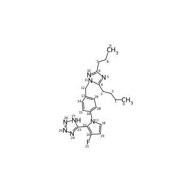 CCCCc1nc(CCC)nn1Cc1ccc(-n2ccc(F)c2-c2nnn[nH]2)cc1